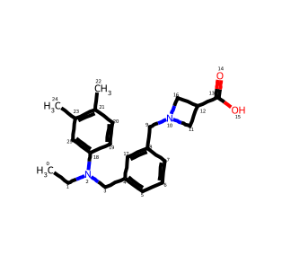 CCN(Cc1cccc(CN2CC(C(=O)O)C2)c1)c1ccc(C)c(C)c1